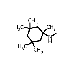 CC1(C)CC(C)(C)CC(C)(NI)C1